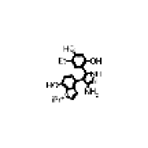 CCc1cc(-c2[nH]nc(N)c2-c2ccc(O)c3c2ccn3C(C)C)c(O)cc1O